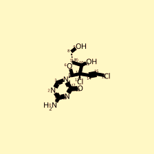 Nc1ncn([C@@H]2O[C@H](CO)C(O)[C@]2(Cl)C#CCl)c(=O)n1